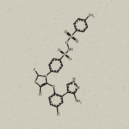 Cc1ccc(S(=O)(=O)ONS(=O)(=O)c2ccc(N3C(Oc4ccc(Cl)cc4-c4c[nH]nc4N)=C(Cl)SC3F)cc2)cc1